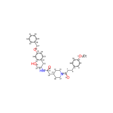 CCOc1ccc(CCC(=O)N2CCC(CC(=O)NC(CO)Cc3ccc(OCc4ccccc4)cc3)CC2)cc1